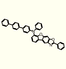 c1ccc(-c2ccc(-c3ccc(N(c4ccccc4)c4cccc5c4oc4cc6oc(-c7ccccc7)nc6cc45)cc3)cc2)cc1